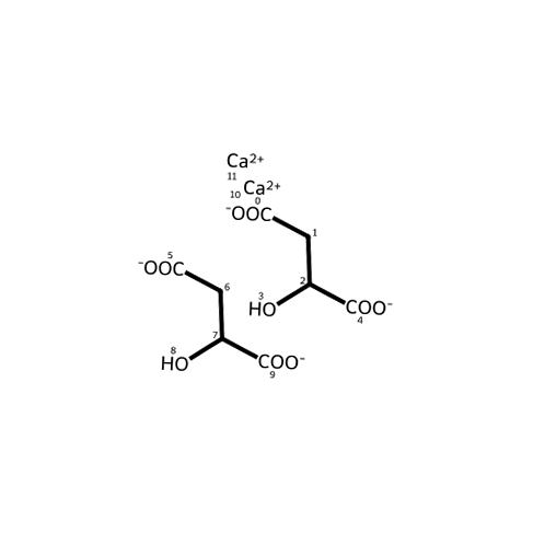 O=C([O-])CC(O)C(=O)[O-].O=C([O-])CC(O)C(=O)[O-].[Ca+2].[Ca+2]